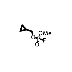 COP(=O)(F)OCC1CC1